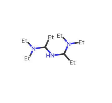 CCC(NC(CC)N(CC)CC)N(CC)CC